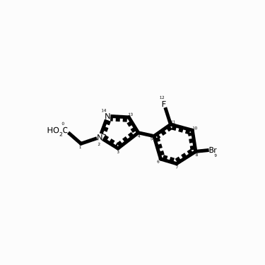 O=C(O)Cn1cc(-c2ccc(Br)cc2F)cn1